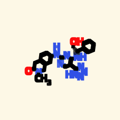 CN1Cc2cc(Nc3ncc(-c4nnn[nH]4)c(N[C@H](CO)c4ccccc4)n3)ccc2CC1=O